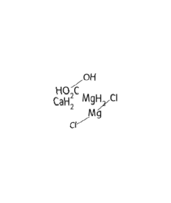 O=C(O)O.[CaH2].[Cl][Mg][Cl].[MgH2]